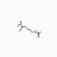 C=CC(=O)N(C)CCCCOC(C)=O